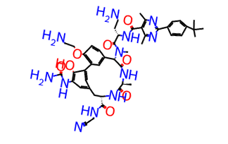 Cc1nc(-c2ccc(C(C)(C)C)cc2)nc(C)c1C(=O)N[C@@H](CCN)C(=O)N(C)[C@@H]1C(=O)N[C@@H](C)C(=O)N[C@H](C(=O)NCC#N)Cc2cc(NC(N)=O)c(O)c(c2)-c2cc1ccc2OCCN